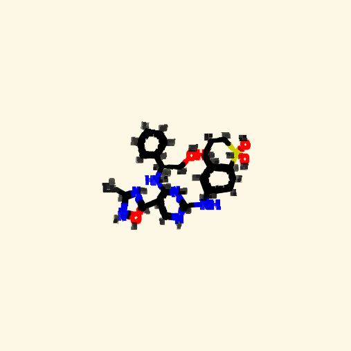 CCc1noc(-c2cnc(Nc3ccc4c(c3)CCCS4(=O)=O)nc2N[C@H](CO)c2ccccc2)n1